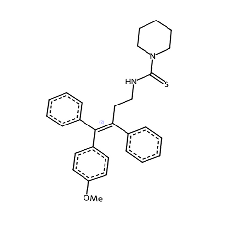 COc1ccc(/C(=C(/CCNC(=S)N2CCCCC2)c2ccccc2)c2ccccc2)cc1